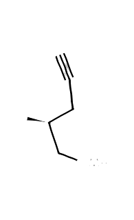 C#CC[C@H](C)COC